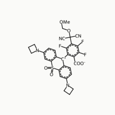 COCOC(C#N)(C#N)c1c(F)c(F)c(C(=O)[O-])c([C+]2c3ccc(N4CCC4)cc3S(=O)(=O)c3cc(N4CCC4)ccc32)c1F